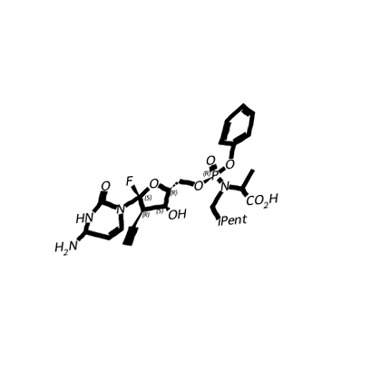 C#C[C@@H]1[C@H](O)[C@@H](CO[P@@](=O)(Oc2ccccc2)N(CC(C)CCC)C(C)C(=O)O)O[C@@]1(F)N1C=CC(N)NC1=O